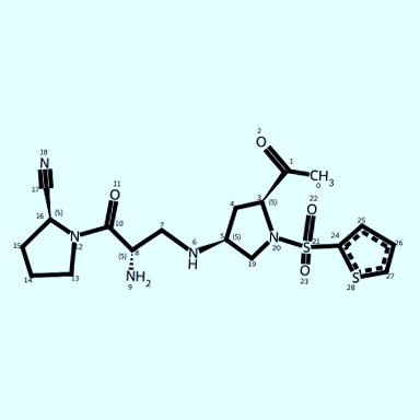 CC(=O)[C@@H]1C[C@H](NC[C@H](N)C(=O)N2CCC[C@H]2C#N)CN1S(=O)(=O)c1cccs1